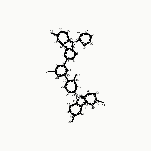 Cc1cc(-c2ccc3c(c2)c2cc(C)ccc2n3-c2ccccc2)cc(-c2ccc(-n3c4ccc(C)cc4c4cc(C)ccc43)cc2C)c1